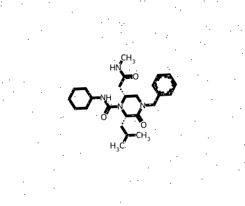 CNC(=O)C[C@@H]1CN(Cc2ccccc2)C(=O)[C@H](CC(C)C)N1C(=O)NC1CCCCC1